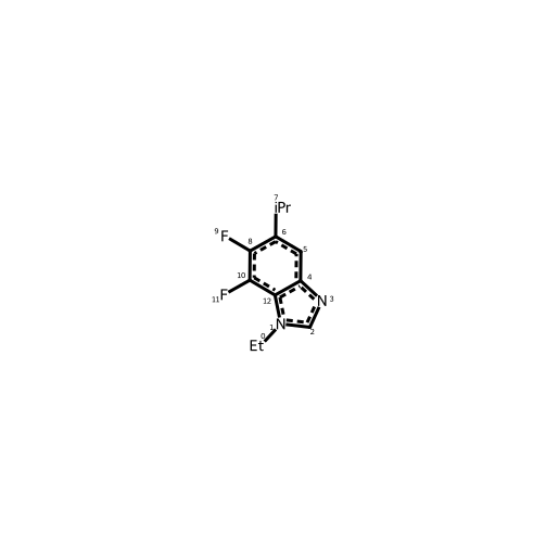 CCn1cnc2cc(C(C)C)c(F)c(F)c21